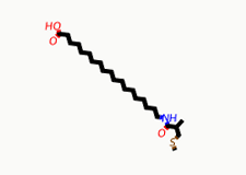 CSCC(C)C(=O)NCCCCCCCCCCCCCCCCCCC(=O)O